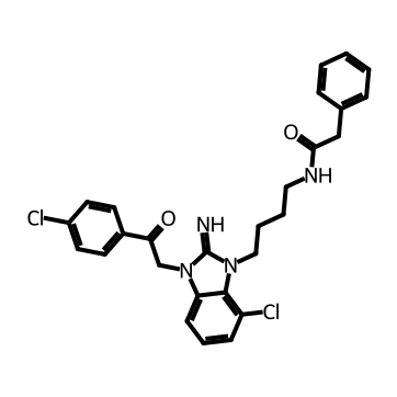 N=c1n(CC(=O)c2ccc(Cl)cc2)c2cccc(Cl)c2n1CCCCNC(=O)Cc1ccccc1